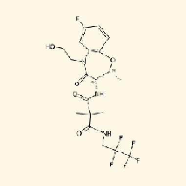 C[C@H]1Oc2ccc(F)cc2N(CCO)C(=O)[C@H]1NC(=O)C(C)(C)C(=O)NCC(F)(F)C(F)(F)F